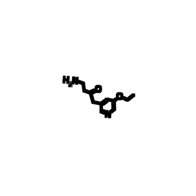 CCOc1cncc(CC(=O)CCN)c1